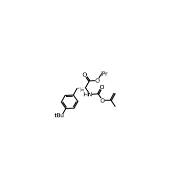 C=C(C)OC(=O)N[C@H](Cc1ccc(C(C)(C)C)cc1)C(=O)OC(C)C